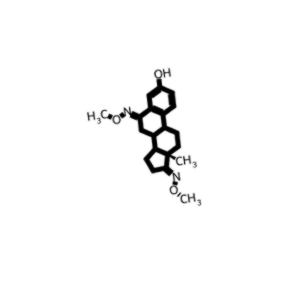 CO/N=C1\CC2C(CC[C@]3(C)/C(=N/OC)CCC23)c2ccc(O)cc21